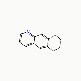 c1cnc2cc3c(cc2c1)CCCC3